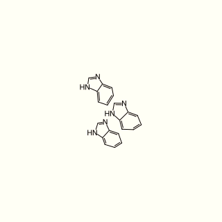 c1ccc2[nH]cnc2c1.c1ccc2[nH]cnc2c1.c1ccc2[nH]cnc2c1